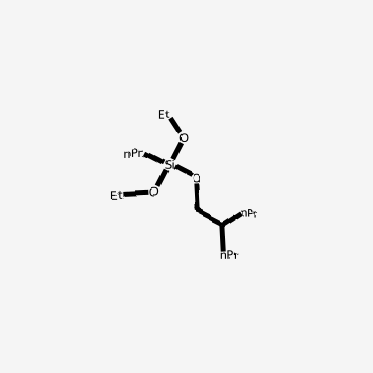 CCCC(CCC)CO[Si](CCC)(OCC)OCC